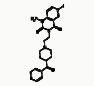 O=C(c1ccccc1)C1CCN(CCn2c(=O)c3cc(I)ccc3n(P)c2=S)CC1